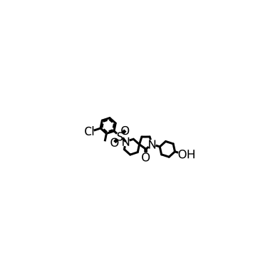 Cc1c(Cl)cccc1S(=O)(=O)N1CCCC2(CCN(C3CCC(O)CC3)C2=O)C1